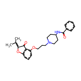 CC(C)=C1Oc2cccc(OCCCN3CCC(NC(=O)c4ccccc4)CC3)c2C1=O